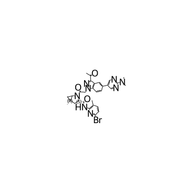 CC(=O)c1nn(CC(=O)N2C3C[C@]3(C)C[C@H]2C(=O)Nc2nc(Br)ccc2C)c2ccc(-c3cnc(N(C)C)nc3)cc12